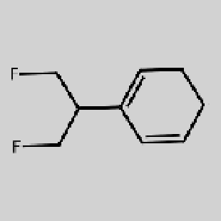 FCC(CF)C1=CC[CH]C=C1